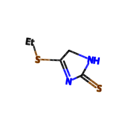 CCSC1=NC(=S)NC1